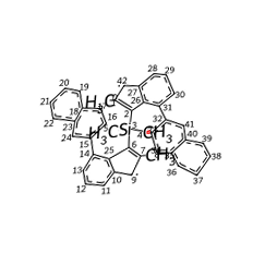 CC1=C([Si](C)(C)C2=C(C)[CH]c3cccc(-c4ccc5ccccc5c4)c32)c2c(cccc2-c2ccc3ccccc3c2)[CH]1